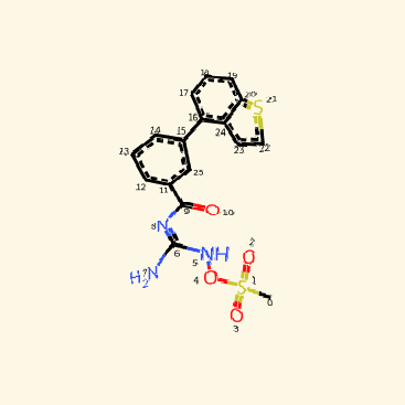 CS(=O)(=O)ONC(N)=NC(=O)c1cccc(-c2cccc3sccc23)c1